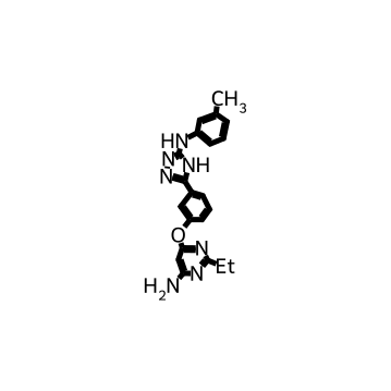 CCc1nc(N)cc(Oc2cccc(-c3nnc(Nc4cccc(C)c4)[nH]3)c2)n1